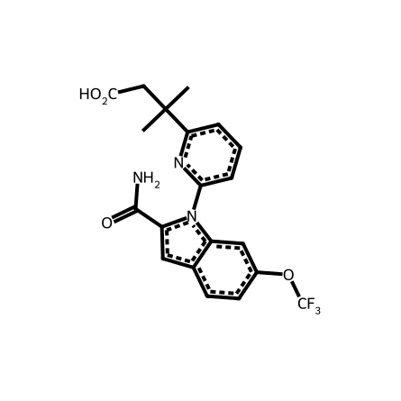 CC(C)(CC(=O)O)c1cccc(-n2c(C(N)=O)cc3ccc(OC(F)(F)F)cc32)n1